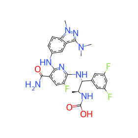 C[C@H](NC(=O)O)[C@H](Nc1nc(Nc2ccc3c(c2)c(N(C)C)nn3C)c(C(N)=O)cc1F)c1cc(F)cc(F)c1